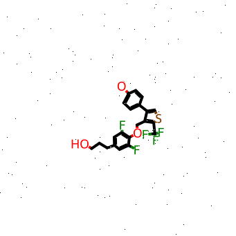 COc1ccc(-c2csc(C(F)(F)F)c2COc2c(F)cc(CCCO)cc2F)cc1